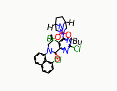 C=CCN(C(=O)c1nc(Cl)nc(N2C[C@H]3CC[C@@H](C2)N3C(=O)OC(C)(C)C)c1Br)c1cccc2cccc(Cl)c12